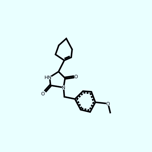 COc1ccc(CN2C(=O)NC(C3=CCCCC3)C2=O)cc1